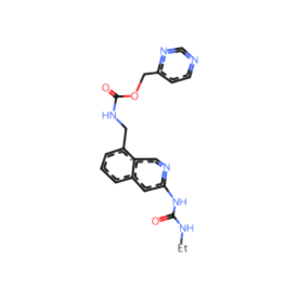 CCNC(=O)Nc1cc2cccc(CNC(=O)OCc3ccncn3)c2cn1